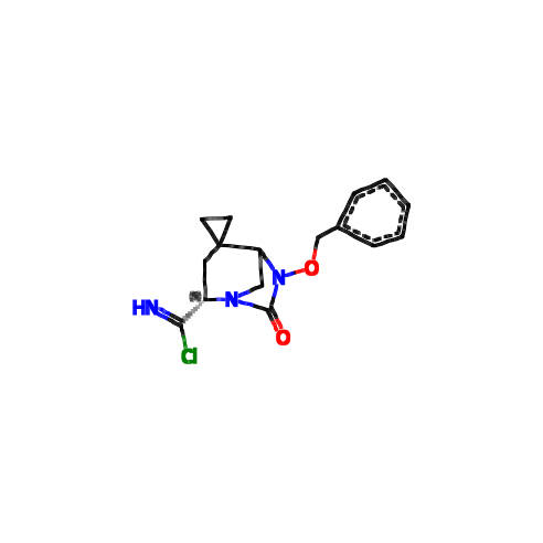 N=C(Cl)[C@@H]1CC2(CC2)C2CN1C(=O)N2OCc1ccccc1